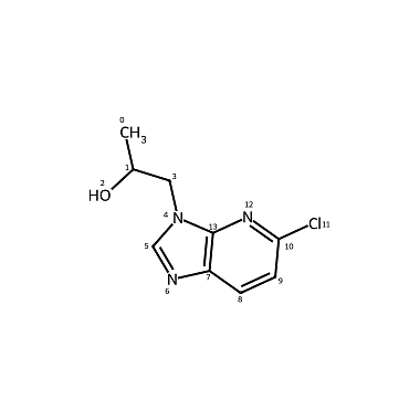 CC(O)Cn1cnc2ccc(Cl)nc21